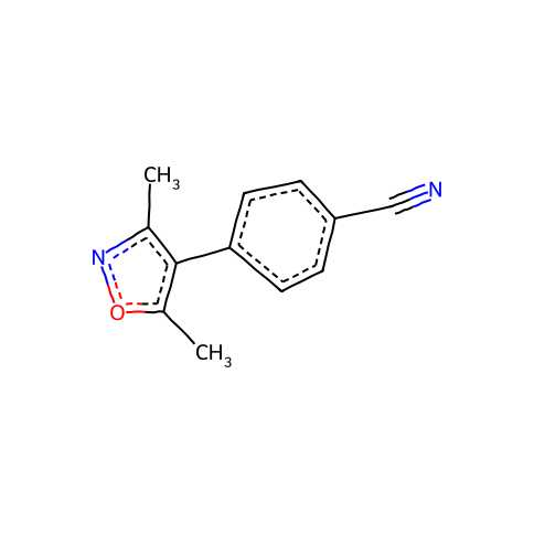 Cc1noc(C)c1-c1ccc(C#N)cc1